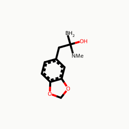 BC(O)(Cc1ccc2c(c1)OCO2)NC